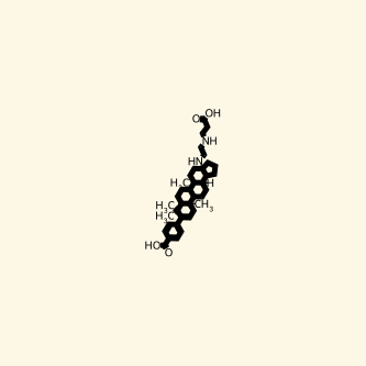 CC1(C)C(c2ccc(C(=O)O)cc2)=CC[C@@]2(C)C1CCC1(C)C3CC[C@@]4(NCCNCCC(=O)O)CCCC4[C@H]3CCC12